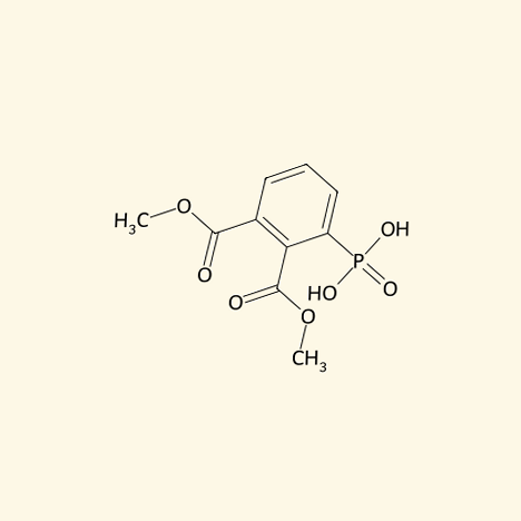 COC(=O)c1cccc(P(=O)(O)O)c1C(=O)OC